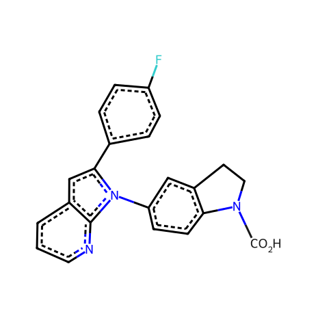 O=C(O)N1CCc2cc(-n3c(-c4ccc(F)cc4)cc4cccnc43)ccc21